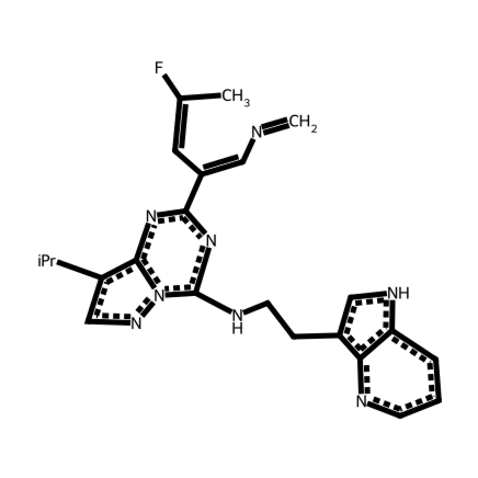 C=N/C=C(\C=C(/C)F)c1nc(NCCc2c[nH]c3cccnc23)n2ncc(C(C)C)c2n1